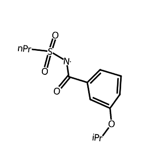 CCCS(=O)(=O)[N]C(=O)c1cccc(OC(C)C)c1